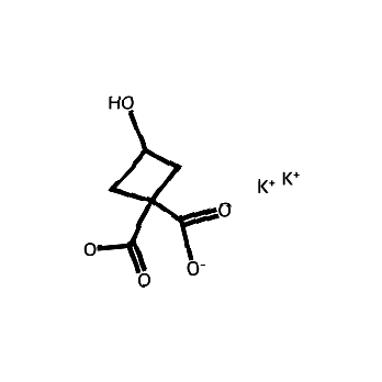 O=C([O-])C1(C(=O)[O-])CC(O)C1.[K+].[K+]